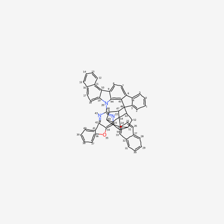 c1ccc2c(c1)-c1ccc3c4c5ccccc5ccc4n(-c4nc(-c5ccc6ccccc6c5)c5oc6ccccc6c5n4)c3c1C21C2CC3CC4CC1C2(C3)C4